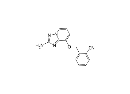 N#Cc1ccccc1COc1cccn2nc(N)nc12